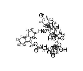 C[C@@H]1C[C@H]2[C@@H]3CCC4=CC(=O)C=C[C@]4(C)[C@@]3(F)[C@@H](O)C[C@]2(C)[C@@]1(O)C(=O)COP(=O)(O)OP(=O)(O)OCCNC(=O)OCC1c2ccccc2-c2ccccc21